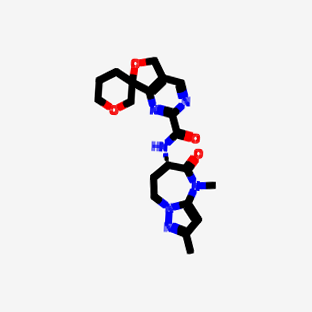 Cc1cc2n(n1)CC[C@H](NC(=O)c1ncc3c(n1)C1(CCCOC1)OC3)C(=O)N2C